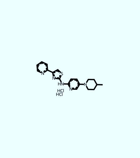 CC1CCN(c2ccc(Nc3nc(-c4ccccn4)cs3)nc2)CC1.Cl.Cl